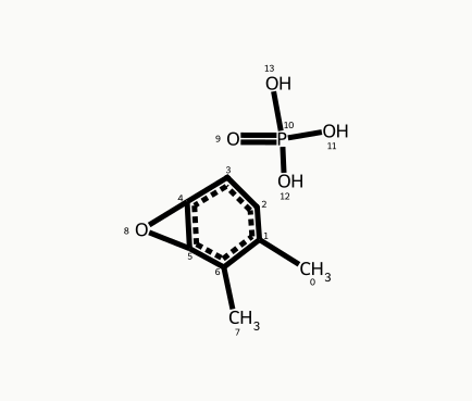 Cc1ccc2c(c1C)O2.O=P(O)(O)O